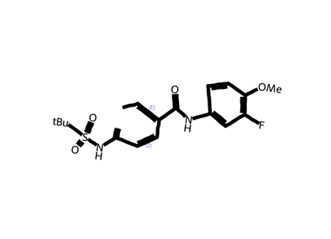 C=C(/C=C\C(=C/C)C(=O)Nc1ccc(OC)c(F)c1)NS(=O)(=O)C(C)(C)C